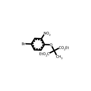 CCOC(=O)C(C)(Oc1ccc(Br)cc1[N+](=O)[O-])C(=O)OCC